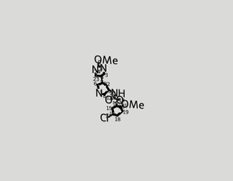 COc1ncc(-c2cncc(NS(=O)(=O)c3cc(Cl)ccc3OC)c2)cn1